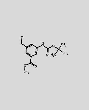 COC(=O)c1cc(CCl)cc(NC(=O)OC(C)(C)C)c1